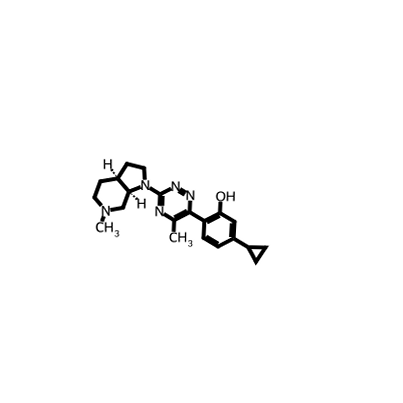 Cc1nc(N2CC[C@@H]3CCN(C)C[C@@H]32)nnc1-c1ccc(C2CC2)cc1O